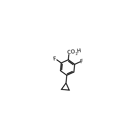 O=C(O)c1c(F)cc(C2CC2)cc1F